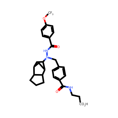 O=C(O)CCNC(=O)c1ccc(CN(NC(=O)c2ccc(OC(F)(F)F)cc2)C2CC3CC2C2CCCC32)cc1